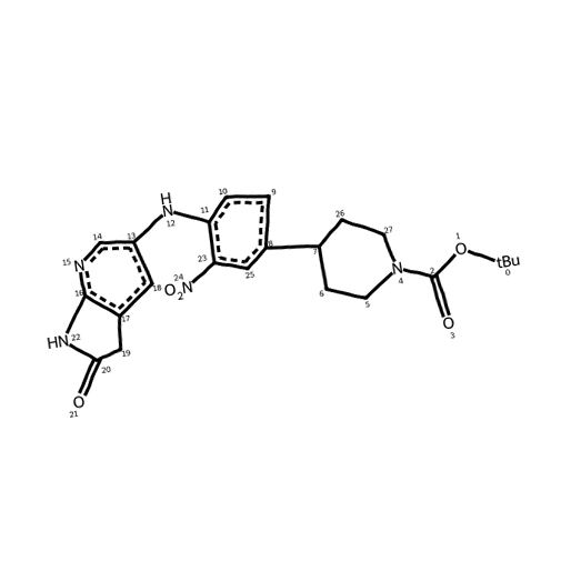 CC(C)(C)OC(=O)N1CCC(c2ccc(Nc3cnc4c(c3)CC(=O)N4)c([N+](=O)[O-])c2)CC1